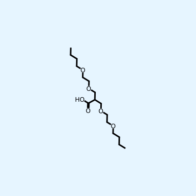 CCCCOCCOCC(COCCOCCCC)C(=O)O